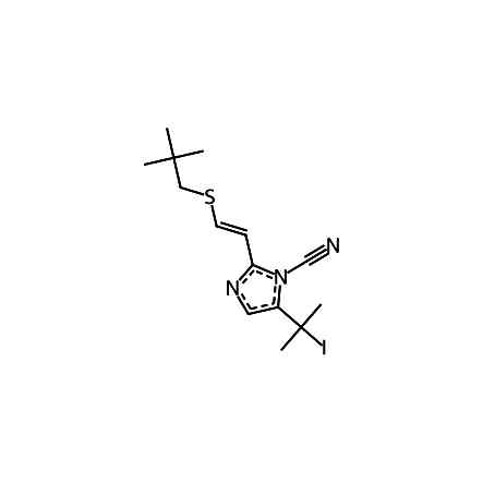 CC(C)(C)CS/C=C/c1ncc(C(C)(C)I)n1C#N